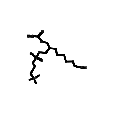 CCCCCCCCCCCCCCCCC(COC(=O)OC)COP(=O)([O-])OCC[N+](C)(C)C